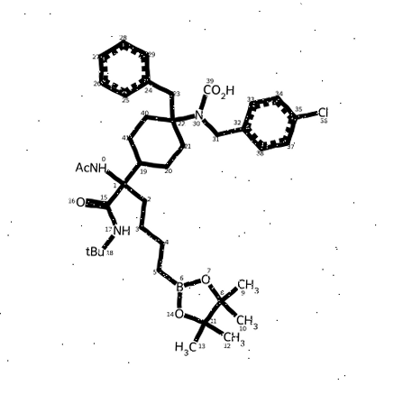 CC(=O)NC(CCCCB1OC(C)(C)C(C)(C)O1)(C(=O)NC(C)(C)C)C1CCC(Cc2ccccc2)(N(Cc2ccc(Cl)cc2)C(=O)O)CC1